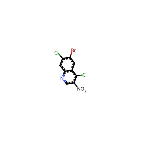 O=[N+]([O-])c1cnc2cc(Cl)c(Br)cc2c1Cl